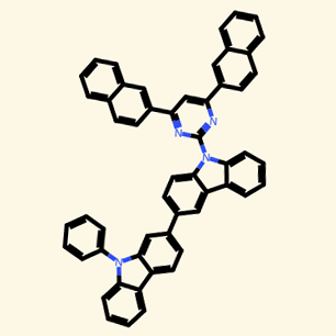 c1ccc(-n2c3ccccc3c3ccc(-c4ccc5c(c4)c4ccccc4n5-c4nc(-c5ccc6ccccc6c5)cc(-c5ccc6ccccc6c5)n4)cc32)cc1